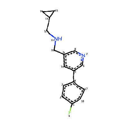 Fc1ccc(-c2cncc(CNCC3CC3)c2)cc1